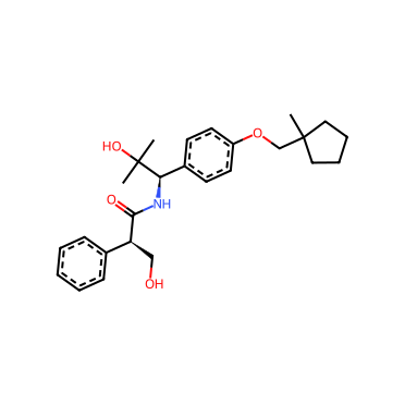 CC1(COc2ccc([C@@H](NC(=O)[C@@H](CO)c3ccccc3)C(C)(C)O)cc2)CCCC1